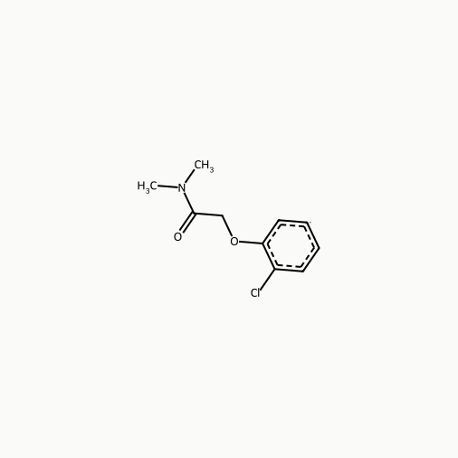 CN(C)C(=O)COc1c[c]ccc1Cl